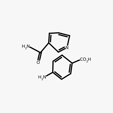 NC(=O)c1cccnc1.Nc1ccc(C(=O)O)cc1